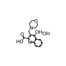 Cl.O=C(O)c1nc2ccccc2c(O)c1CN1CCOCC1